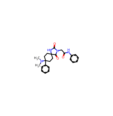 CN(C)C1(c2ccccc2)CCC2(CC1)NC(=O)N(CC(=O)Nc1ccccc1)C2=O